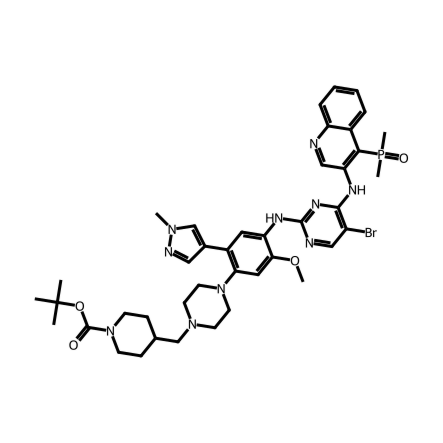 COc1cc(N2CCN(CC3CCN(C(=O)OC(C)(C)C)CC3)CC2)c(-c2cnn(C)c2)cc1Nc1ncc(Br)c(Nc2cnc3ccccc3c2P(C)(C)=O)n1